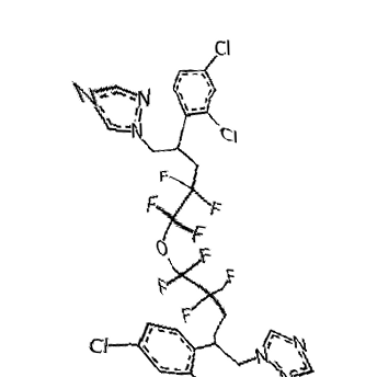 FC(F)(CC(Cn1cncn1)c1ccc(Cl)cc1Cl)C(F)(F)OC(F)(F)C(F)(F)CC(Cn1cncn1)c1ccc(Cl)cc1Cl